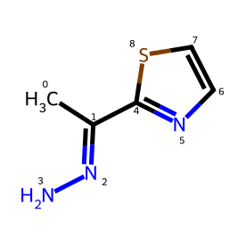 CC(=NN)c1nccs1